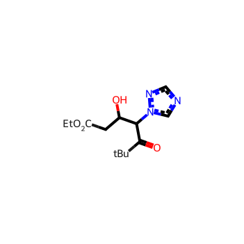 CCOC(=O)CC(O)C(C(=O)C(C)(C)C)n1cncn1